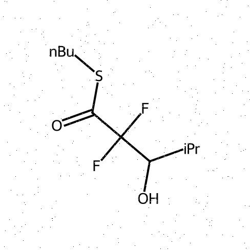 CCCCSC(=O)C(F)(F)C(O)C(C)C